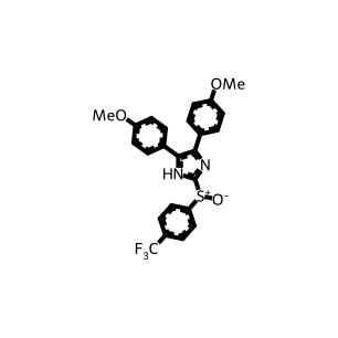 COc1ccc(-c2nc([S+]([O-])c3ccc(C(F)(F)F)cc3)[nH]c2-c2ccc(OC)cc2)cc1